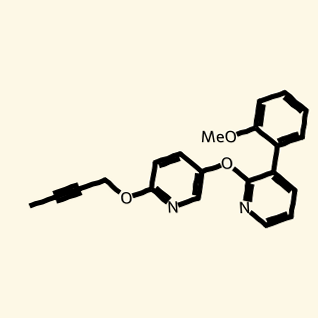 CC#CCOc1ccc(Oc2ncccc2-c2ccccc2OC)cn1